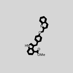 COC(=O)c1cccc2[nH]cc(Cc3ccc(OCc4ccc5ccccc5n4)cc3)c12